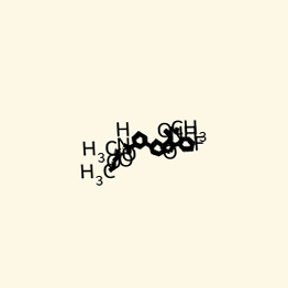 CCOC(=O)[C@H](C)NC(=O)c1cccc(-c2ccc3oc(-c4ccc(F)cc4)c(C(=O)NC)c3c2)c1